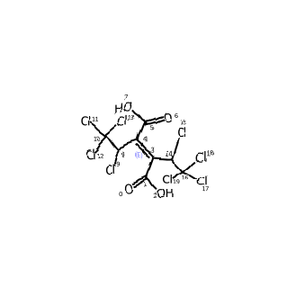 O=C(O)/C(=C(/C(=O)O)C(Cl)C(Cl)(Cl)Cl)C(Cl)C(Cl)(Cl)Cl